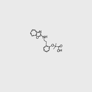 CC(C)(Oc1ccccc1CCNc1nc2ccccc2o1)C(=O)O